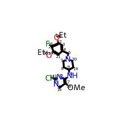 CCOc1cc(CN2CCC(Nc3nc(Cl)ncc3OC)CC2)cc(OCC)c1F